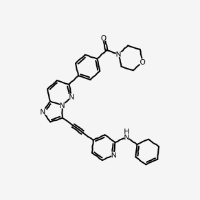 O=C(c1ccc(-c2ccc3ncc(C#Cc4ccnc(NC5=CC=CCC5)c4)n3n2)cc1)N1CCOCC1